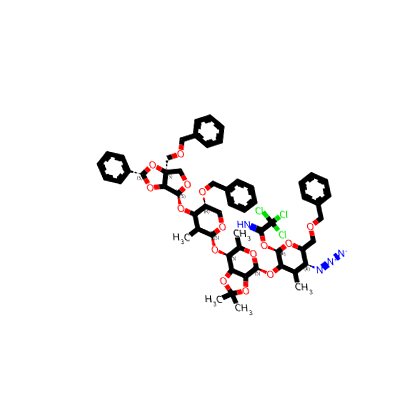 CC1C(O[C@@H]2OC[C@]3(COCc4ccccc4)O[C@@H](c4ccccc4)OC23)[C@H](OCc2ccccc2)CO[C@H]1O[C@H]1C(C)O[C@@H](OC2C(C)[C@@H](N=[N+]=[N-])C(COCc3ccccc3)O[C@@H]2OC(=N)C(Cl)(Cl)Cl)C2OC(C)(C)OC21